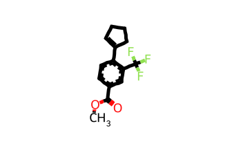 COC(=O)c1ccc(C2=CCCC2)c(C(F)(F)F)c1